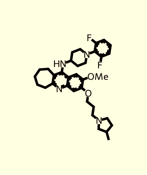 COc1cc2c(NC3CCN(c4c(F)cccc4F)CC3)c3c(nc2cc1OCCCN1CCC(C)C1)CCCCC3